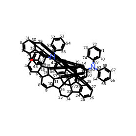 C1=CC2C3C=CC4C5C=CC6C7C8=C9C%10=C(C4C3C3=C%10c4c9c9c%10c(ccc%11c%10c4C(C1%11)C32)C1CCC6C82C(c3ccc(N(c4ccccc4)c4ccccc4)cc3)(c3ccc(N(c4ccccc4)c4ccccc4)cc3)C912)C57